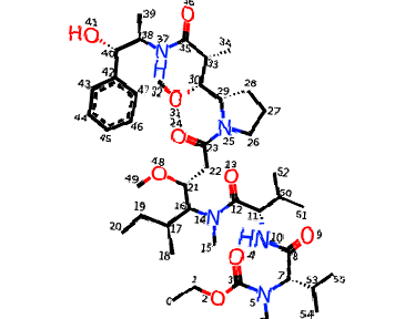 CCOC(=O)N(C)[C@H](C(=O)N[C@H](C(=O)N(C)C([C@@H](C)CC)[C@@H](CC(=O)N1CCC[C@H]1[C@H](OC)[C@@H](C)C(=O)N[C@H](C)[C@@H](O)c1ccccc1)OC)C(C)C)C(C)C